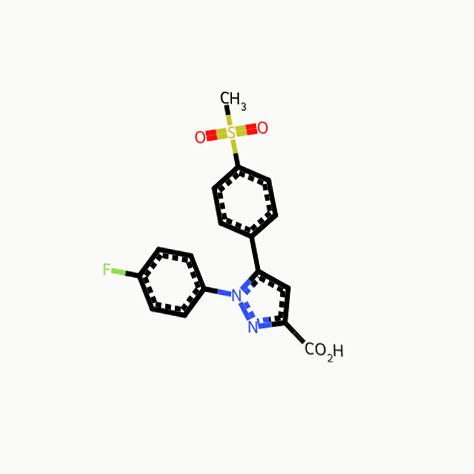 CS(=O)(=O)c1ccc(-c2cc(C(=O)O)nn2-c2ccc(F)cc2)cc1